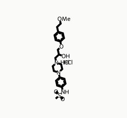 COCCc1ccc(OCC(O)CN2CCN(c3ccc(NS(C)(=O)=O)cc3)CC2)cc1.Cl.Cl